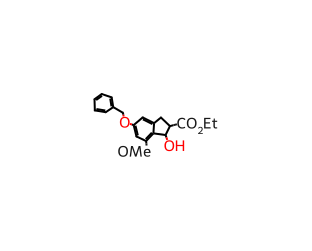 CCOC(=O)C1Cc2cc(OCc3ccccc3)cc(OC)c2C1O